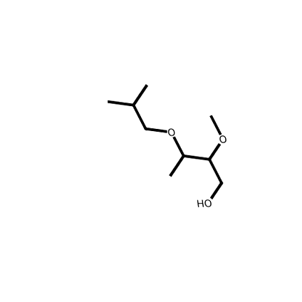 COC(CO)C(C)OCC(C)C